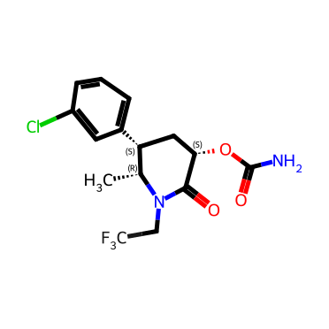 C[C@@H]1[C@H](c2cccc(Cl)c2)C[C@H](OC(N)=O)C(=O)N1CC(F)(F)F